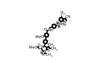 COC(=O)C[C@@H]1N=C(c2ccc(-c3ccc(C(=O)NCc4ccc(S(=O)(=O)Nc5ccc(C)c6c(C#N)c[nH]c56)cc4)cc3OC)cc2)c2c(sc(C)c2C)-n2c(C)nnc21